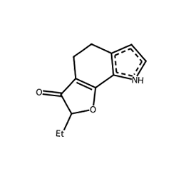 CCC1OC2=C(CCc3cc[nH]c32)C1=O